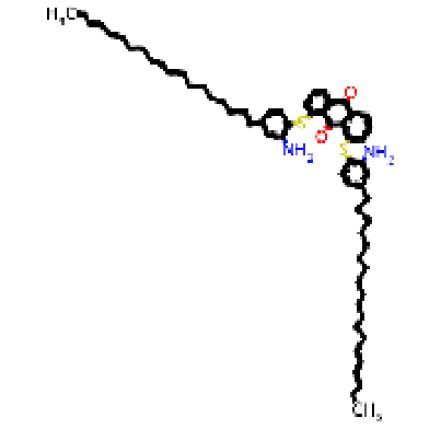 CCCCCCCCCCCCCCCCCCCc1ccc(Sc2cccc3c2C(=O)c2c(Sc4ccc(CCCCCCCCCCCCCCCCCCC)cc4N)cccc2C3=O)c(N)c1